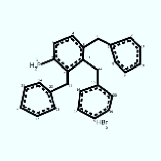 Br.Pc1ccc(Cc2ccccc2)c(Cc2ccccc2)c1Cc1ccccc1